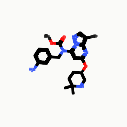 CC(C)c1cnn2c(N(Cc3cccc(N)c3)C(=O)OC(C)(C)C)cc(O[C@@H]3CCC(C)(C)NC3)nc12